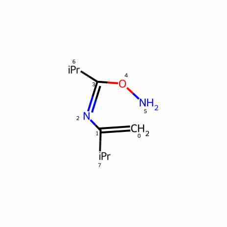 C=C(/N=C(\ON)C(C)C)C(C)C